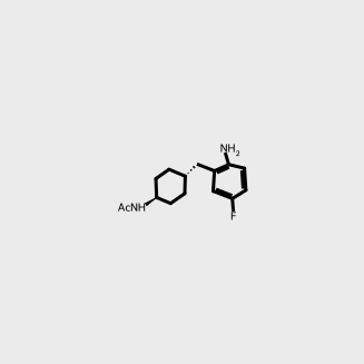 CC(=O)N[C@H]1CC[C@H](Cc2cc(F)ccc2N)CC1